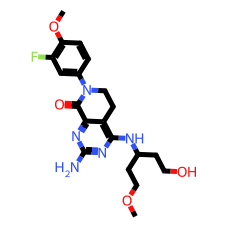 COCCC(CCO)Nc1nc(N)nc2c1CCN(c1ccc(OC)c(F)c1)C2=O